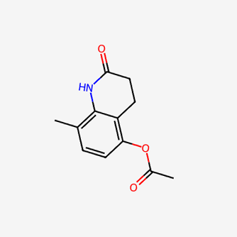 CC(=O)Oc1ccc(C)c2c1CCC(=O)N2